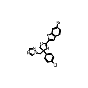 Clc1ccc(C2(Cn3cncn3)COC(c3cc4ccc(Br)cc4s3)=N2)cc1